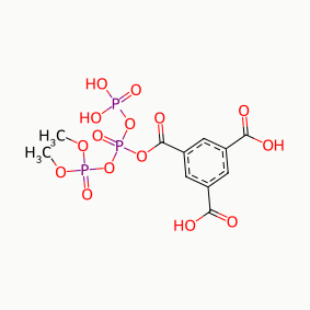 COP(=O)(OC)OP(=O)(OC(=O)c1cc(C(=O)O)cc(C(=O)O)c1)OP(=O)(O)O